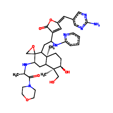 CC(NC1CC2[C@](C)(CC[C@@H](O)[C@@]2(C)CO)C(CC(Nc2ccccn2)C2=C/C(=C\c3cnc(N)nc3)OC2=O)C12CO2)C(=O)N1CCOCC1